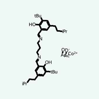 CC(=O)[O-].CC(=O)[O-].CC(C)CCc1cc(C=NCCCN=Cc2cc(CCC(C)C)cc(C(C)(C)C)c2O)c(O)c(C(C)(C)C)c1.[Co+2]